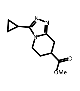 COC(=O)C1CCn2c(nnc2C2CC2)C1